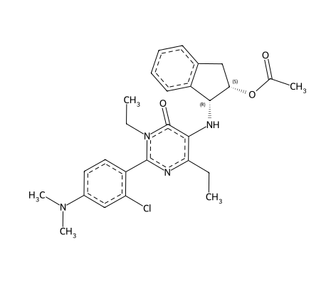 CCc1nc(-c2ccc(N(C)C)cc2Cl)n(CC)c(=O)c1N[C@@H]1c2ccccc2C[C@@H]1OC(C)=O